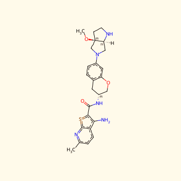 CO[C@@]12CCN[C@H]1CN(c1ccc3c(c1)OC[C@H](NC(=O)c1sc4nc(C)ccc4c1N)C3)C2